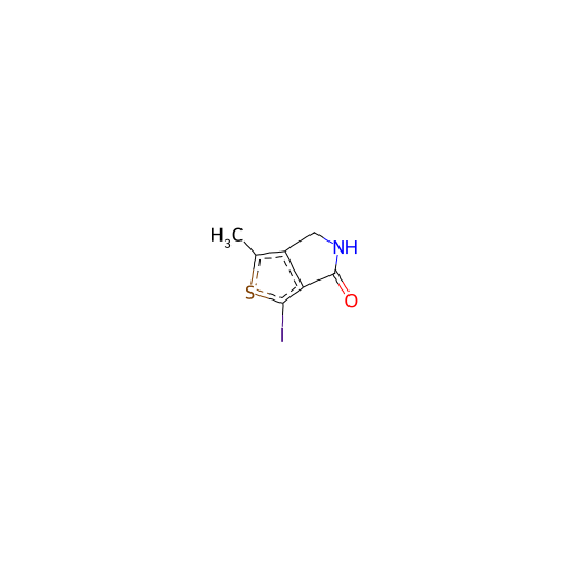 Cc1sc(I)c2c1CNC2=O